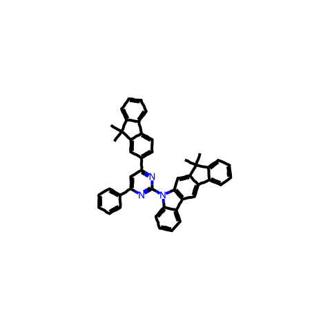 CC1(C)c2ccccc2-c2ccc(-c3cc(-c4ccccc4)nc(-n4c5ccccc5c5cc6c(cc54)C(C)(C)c4ccccc4-6)n3)cc21